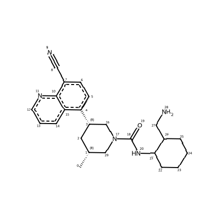 C[C@@H]1C[C@H](c2ccc(C#N)c3ncccc23)CN(C(=O)NC2CCCCC2CN)C1